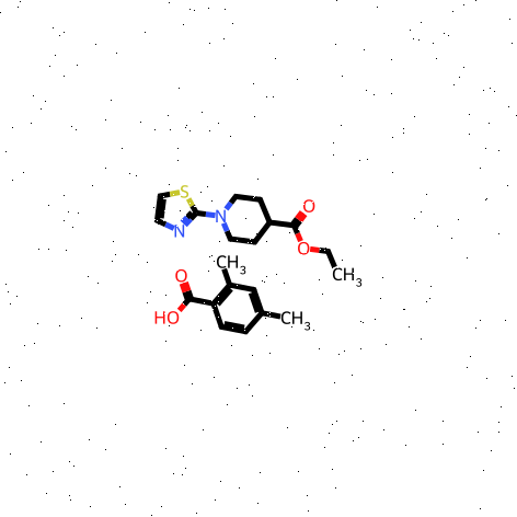 CCOC(=O)C1CCN(c2nccs2)CC1.Cc1ccc(C(=O)O)c(C)c1